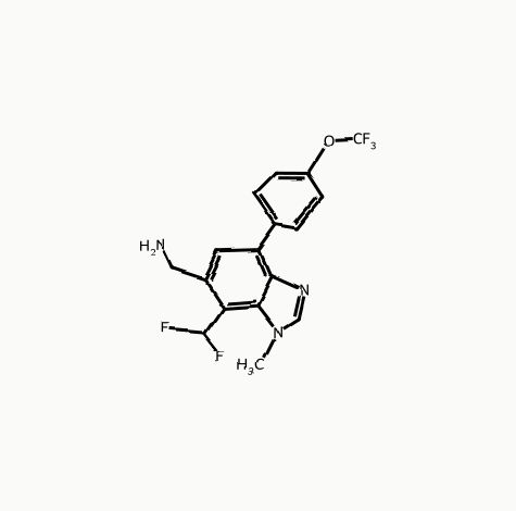 Cn1cnc2c(-c3ccc(OC(F)(F)F)cc3)cc(CN)c(C(F)F)c21